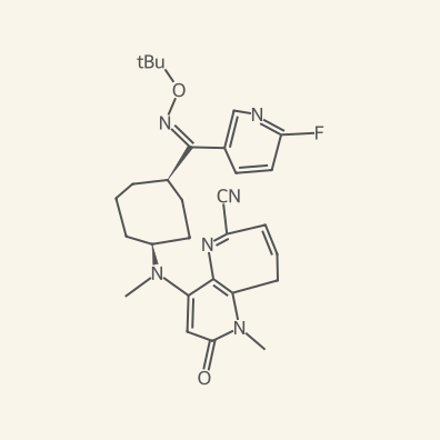 CN(c1cc(=O)n(C)c2c1N=C(C#N)C=CC2)[C@H]1CCC[C@@H](/C(=N/OC(C)(C)C)c2ccc(F)nc2)CC1